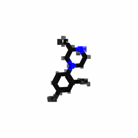 Cc1cc(C(C)(C)C)ccc1N1CCNC(C)C1